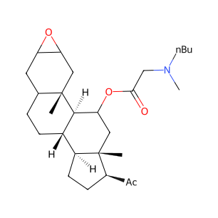 CCCCN(C)CC(=O)OC1C[C@]2(C)[C@@H](C(C)=O)CC[C@H]2[C@@H]2CCC3CC4OC4C[C@]3(C)[C@@H]12